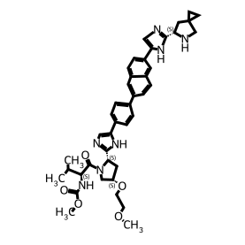 COCCO[C@H]1C[C@@H](c2ncc(-c3ccc(-c4ccc5cc(-c6cnc([C@@H]7CC8(CC8)CN7)[nH]6)ccc5c4)cc3)[nH]2)N(C(=O)[C@@H](NC(=O)OC)C(C)C)C1